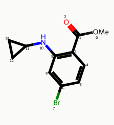 COC(=O)c1ccc(Br)cc1NC1CC1